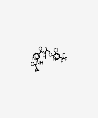 CC(COc1ncc(C(F)(F)F)cc1Cl)NC(=O)c1ccnc(NC(=O)C2CC2)c1